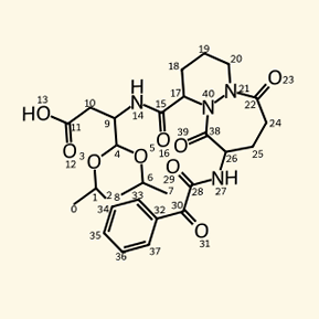 CC(C)OC(OC(C)C)C(CC(=O)O)NC(=O)C1CCCN2C(=O)CCC(NC(=O)C(=O)c3ccccc3)C(=O)N12